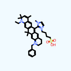 CCN1c2cc3c(cc2C(C)=CC1(C)C)C(c1n(C)cc[n+]1CCCCS(=O)(=O)O)=c1cc2c(cc1C3(C)C)=[N+](Cc1ccccc1)CCC2